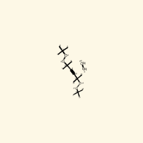 CC(C)(C)OOC(C)(C)C#CC(C)(C)OOC(C)(C)C.OO